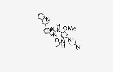 C=CC(=O)Nc1cc(Nc2ncc3ccc(-c4cnc5ccccc5c4)n3n2)c(OC)cc1N1CCC(N(C)C)CC1